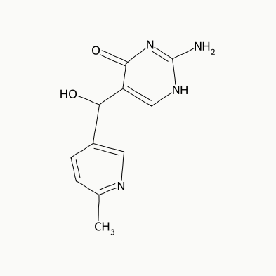 Cc1ccc(C(O)c2c[nH]c(N)nc2=O)cn1